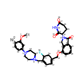 CCOc1cc(N2CCN(CC3=CC=C(COc4cccc5c4CN([C@H]4CCC(=O)NC4=O)C5=O)CC3F)CC2)ccc1C#N